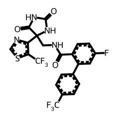 O=C1NC(=O)C(CNC(=O)c2ccc(F)cc2-c2ccc(C(F)(F)F)cc2)(c2ncsc2C(F)(F)F)N1